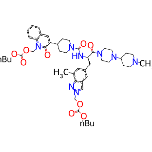 CCCCOC(=O)OCn1cc2cc(C[C@@H](NC(=O)N3CCC(c4cc5ccccc5n(COC(=O)OCCCC)c4=O)CC3)C(=O)N3CCN(C4CCN(C)CC4)CC3)cc(C)c2n1